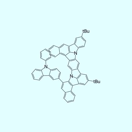 CC(C)(C)c1ccc2c(c1)c1cc3ccccc3c3c4cc5c(cc4n2c13)c1cc(C(C)(C)C)cc2c3c4ccccc4cc(-c4ccc6c(c4)c4ccccc4n6-c4ccccc4)c3n5c12